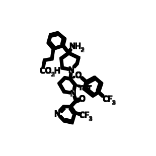 CCC[C@H]1N(C(=O)c2cnccc2C(F)(F)F)CCC[C@@]1(Oc1ccc(C(F)(F)F)cc1)N1CCC(N)(c2ccccc2CCC(=O)O)CC1